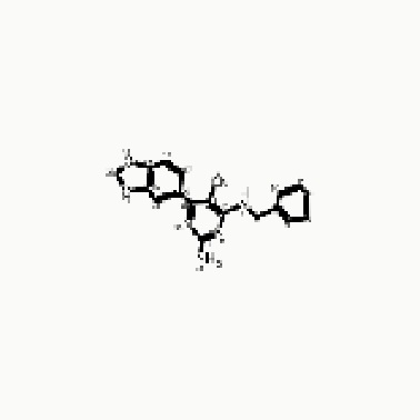 N#Cc1c(NCc2ccccc2)nc(N)nc1-c1ccc2c(c1)OCO2